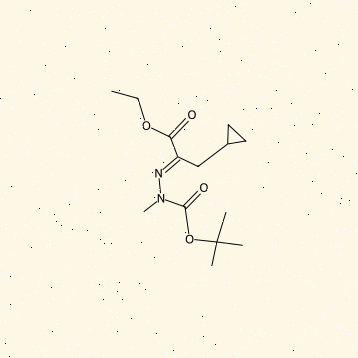 CCOC(=O)/C(CC1CC1)=N/N(C)C(=O)OC(C)(C)C